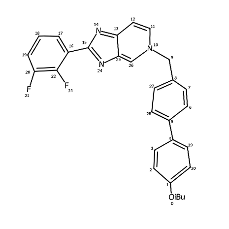 CC(C)COc1ccc(-c2ccc(Cn3ccc4nc(-c5cccc(F)c5F)nc-4c3)cc2)cc1